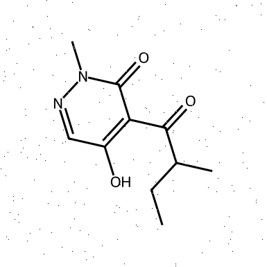 CCC(C)C(=O)c1c(O)cnn(C)c1=O